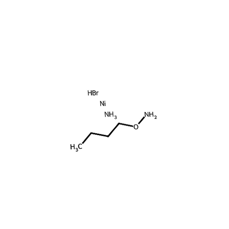 Br.CCCCON.N.[Ni]